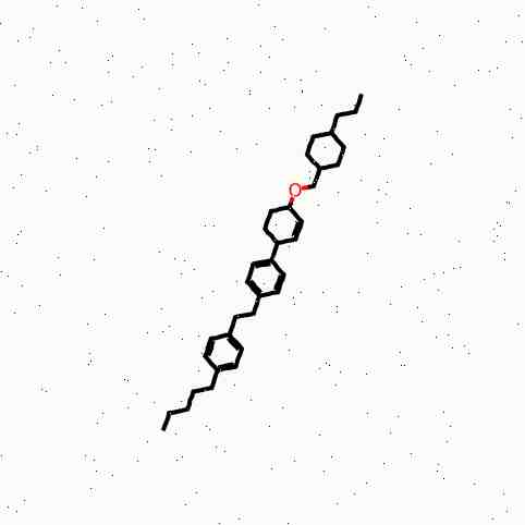 CCCCCc1ccc(CCc2ccc(C3C=CC(OCC4CCC(CCC)CC4)CC3)cc2)cc1